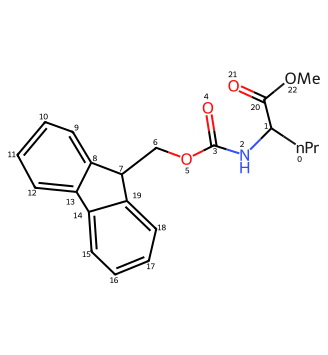 CCCC(NC(=O)OCC1c2ccccc2-c2ccccc21)C(=O)OC